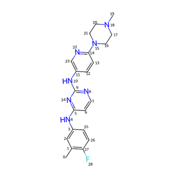 Cc1cc(Nc2ccnc(Nc3ccc(N4CCN(C)CC4)nc3)n2)ccc1F